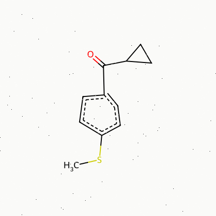 CSc1ccc(C(=O)C2CC2)cc1